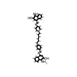 Nc1c(O)cc(N=Nc2cc[n+](CCCCCC[n+]3ccc(N=Nc4cc(O)c(N)c5ccccc45)cc3)cc2)c2ccccc12